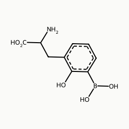 NC(Cc1cccc(B(O)O)c1O)C(=O)O